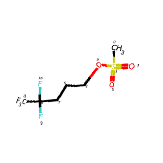 CS(=O)(=O)O[CH]CCC(F)(F)C(F)(F)F